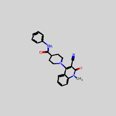 Cn1c(=O)c(C#N)c(N2CCC(C(=O)Nc3ccccc3)CC2)c2ccccc21